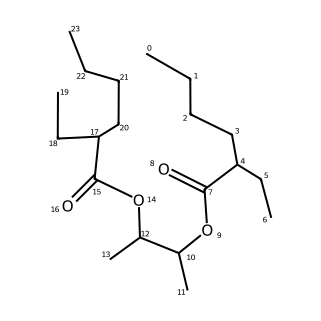 CCCCC(CC)C(=O)OC(C)C(C)OC(=O)C(CC)CCCC